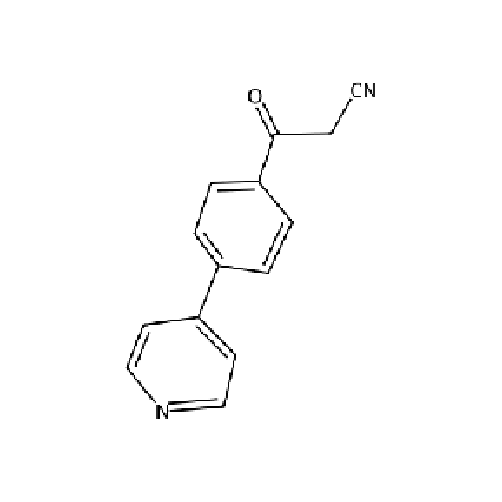 N#CCC(=O)c1ccc(-c2ccncc2)cc1